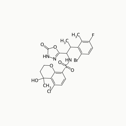 Cc1c(F)ccc(Br)c1C(C)C(NS(=O)(=O)c1ccc(Cl)c2c1OCCC2(C)O)c1n[nH]c(=O)o1